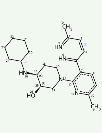 CC(=N)/C=C\C(=N)c1ccc(C)nc1N1CC[C@H](NC2CCCCC2)[C@H](O)C1